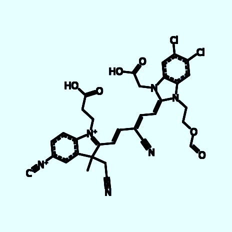 [C-]#[N+]c1ccc2c(c1)C(C)(CC#N)C(/C=C/C(C#N)=C/C=C1/N(CCOC=O)c3cc(Cl)c(Cl)cc3N1CC(=O)O)=[N+]2CCC(=O)O